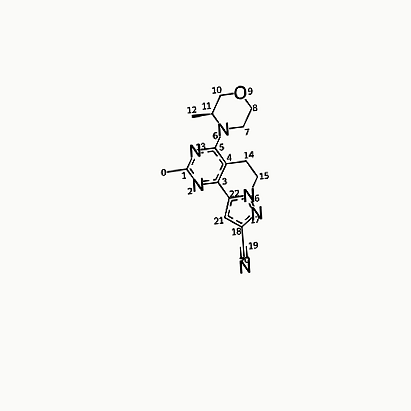 Cc1nc2c(c(N3CCOC[C@@H]3C)n1)CCn1nc(C#N)cc1-2